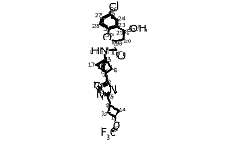 O=C(NC12CC(c3nc(C4CC(OC(F)(F)F)C4)no3)(C1)C2)[C@H]1C[C@@H](O)c2cc(Cl)ccc2O1